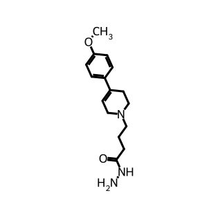 COc1ccc(C2=CCN(CCCC(=O)NN)CC2)cc1